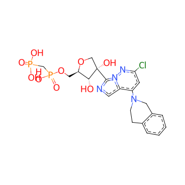 O=P(O)(O)CP(=O)(O)OC[C@H]1OC[C@@](O)(c2ncc3c(N4CCc5ccccc5C4)cc(Cl)nn23)[C@@H]1O